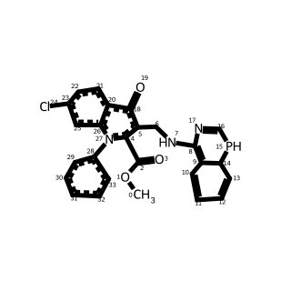 COC(=O)c1c(CNC2=C3C=CC=CC3PC=N2)c(=O)c2ccc(Cl)cc2n1-c1ccccc1